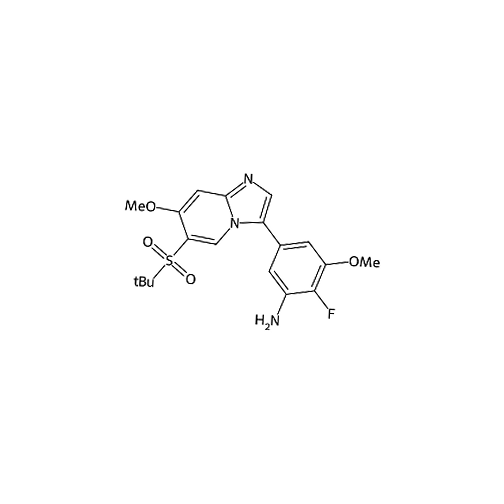 COc1cc2ncc(-c3cc(N)c(F)c(OC)c3)n2cc1S(=O)(=O)C(C)(C)C